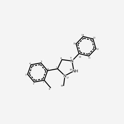 Cc1ccccc1C1CN(c2ccccc2)NN1C